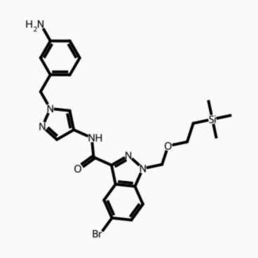 C[Si](C)(C)CCOCn1nc(C(=O)Nc2cnn(Cc3cccc(N)c3)c2)c2cc(Br)ccc21